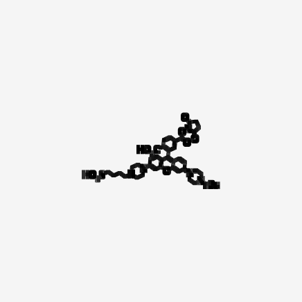 CCCCN1CC[N+](=c2ccc3c(-c4cc(C(=O)ON5C(=O)CCC5=O)ccc4C(=O)O)c4ccc(N5CCN(CCCCS(=O)(=O)O)CC5)cc4oc-3c2)CC1